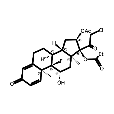 CCC(=O)O[C@]1(C(=O)CCl)[C@H](OC(C)=O)C[C@H]2[C@@H]3CCC4=CC(=O)C=C[C@]4(C)[C@@]3(F)[C@@H](O)C[C@@]21C